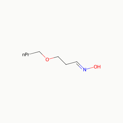 CCCCOCC/C=N/O